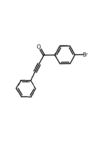 O=C(C#Cc1ccccc1)c1ccc(Br)cc1